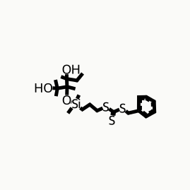 CCC(C)(O)C(C)(O[Si](C)(C)CCCSC(=S)SCc1ccccc1)C(C)(C)O